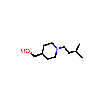 CC(C)CCN1CCC(CO)CC1